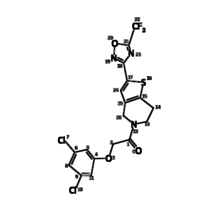 O=C(COc1cc(Cl)cc(Cl)c1)N1CCc2sc(-c3noc(C(F)(F)F)n3)cc2C1